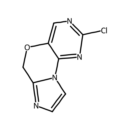 Clc1ncc2c(n1)-n1ccnc1CO2